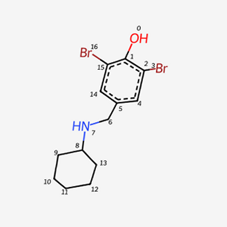 Oc1c(Br)cc(CNC2CCCCC2)cc1Br